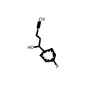 C#CCCC(O)c1ccc(F)cc1